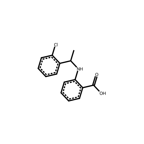 CC(Nc1ccccc1C(=O)O)c1ccccc1Cl